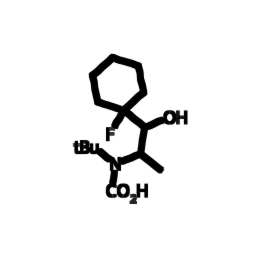 CC(C(O)C1(F)CCCCC1)N(C(=O)O)C(C)(C)C